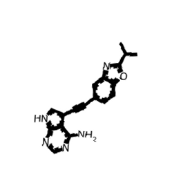 CC(C)c1nc2cc(C#Cc3c[nH]c4ncnc(N)c34)ccc2o1